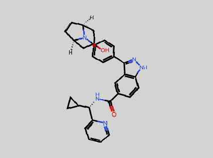 O=C(N[C@H](c1ccccn1)C1CC1)c1ccc2[nH]nc(-c3ccc(N4[C@@H]5CC[C@H]4CC(O)C5)cc3)c2c1